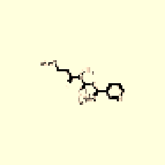 C=C(S/C(=N\N)c1cccnc1)N(C)C(=O)CCOC